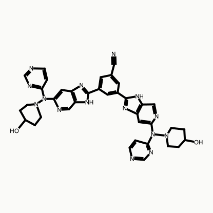 N#Cc1cc(-c2nc3cc(N(c4ccncn4)N4CCC(O)CC4)ncc3[nH]2)cc(-c2nc3cc(N(c4ccncn4)N4CCC(O)CC4)ncc3[nH]2)c1